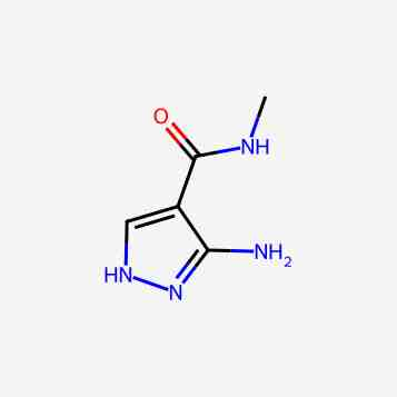 CNC(=O)c1c[nH]nc1N